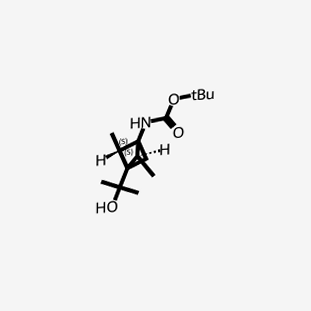 C[C@@H]1C2(NC(=O)OC(C)(C)C)CC1(C(C)(C)O)[C@@H]2C